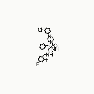 O=C(N1CCN(c2cccc(Cl)c2)CC1)[C@]1(Cc2ccccc2)C[C@H](NCc2ccc(F)cc2F)CN1